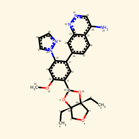 CC[C@@]12COC[C@]1(CC)OB(c1cc(-c3ccc4c(N)cnnc4c3)c(-n3cccn3)cc1OC)O2